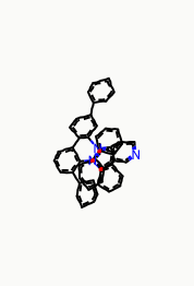 c1ccc(-c2ccc(-c3cccc(-c4ccccc4)c3-n3c4ccccc4c4ccccc43)c(-n3c4ccccc4c4cnccc43)c2)cc1